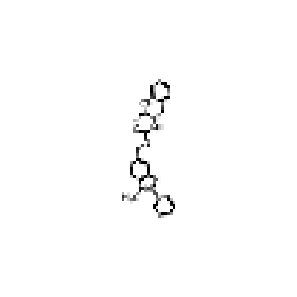 Cn1c(-c2ccccc2)nc2cc(COC(=O)N[C@H](Cc3ccccc3)C(=O)O)ccc21